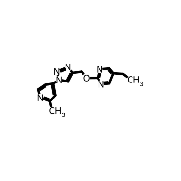 CCc1cnc(OCc2cn(-c3ccnc(C)c3)nn2)nc1